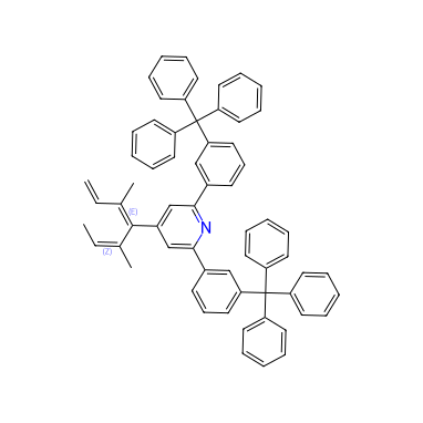 C=C/C(C)=C(\C(C)=C/C)c1cc(-c2cccc(C(c3ccccc3)(c3ccccc3)c3ccccc3)c2)nc(-c2cccc(C(c3ccccc3)(c3ccccc3)c3ccccc3)c2)c1